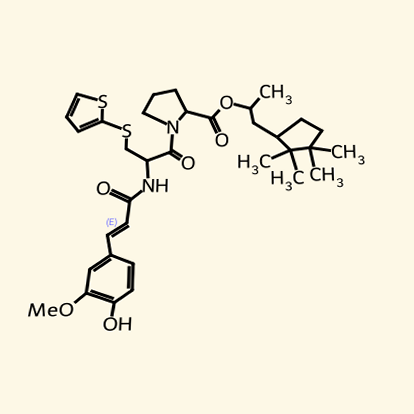 COc1cc(/C=C/C(=O)NC(CSc2cccs2)C(=O)N2CCCC2C(=O)OC(C)CC2CCC(C)(C)C2(C)C)ccc1O